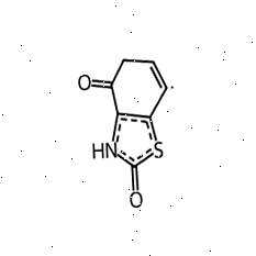 O=C1CC=[C]c2sc(=O)[nH]c21